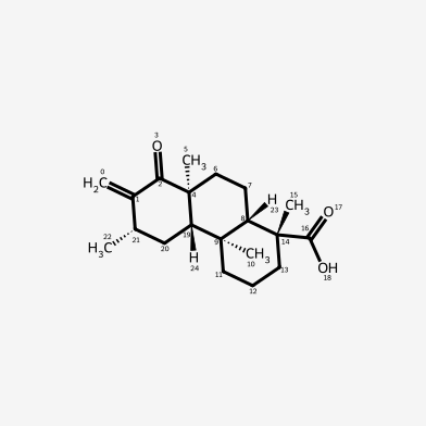 C=C1C(=O)[C@@]2(C)CC[C@H]3[C@@](C)(CCC[C@@]3(C)C(=O)O)[C@@H]2C[C@@H]1C